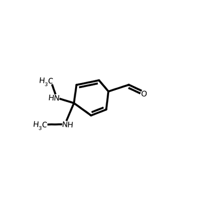 CNC1(NC)C=CC(C=O)C=C1